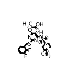 C[C@H]1CN(S(=O)(=O)Nc2cc(O[C@H](C)C(=O)O)nc(SCc3cccc(F)c3F)n2)CCN1